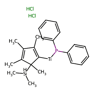 CC1=C(C)C(C)([SiH](C)C)[C]([Ti][P](c2ccccc2)c2ccccc2)=C1C.Cl.Cl